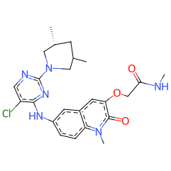 CNC(=O)COc1cc2cc(Nc3nc(N4CC(C)C[C@@H](C)C4)ncc3Cl)ccc2n(C)c1=O